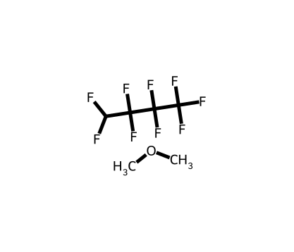 COC.FC(F)C(F)(F)C(F)(F)C(F)(F)F